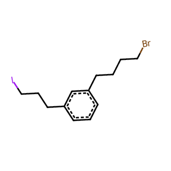 BrCCCCc1cccc(CCCI)c1